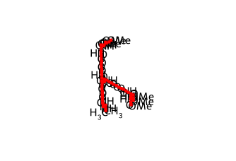 COC(=O)CC[C@H](NC(=O)N[C@@H](CCCCNC(=O)CCOCCOCCOCCOCCNC(=O)CN(CC(=O)NCCOCCOCCOCCOCCC(=O)NCCCC[C@H](NC(=O)N[C@@H](CCC(=O)OC)C(=O)OC)C(=O)OC)C(=O)CCOCCOCCOCCOCCNC(=O)c1ccc(NN=C(C)C)nc1)C(=O)OC)C(=O)OC